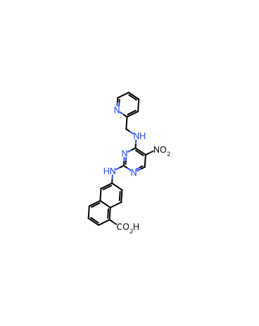 O=C(O)c1cccc2cc(Nc3ncc([N+](=O)[O-])c(NCc4ccccn4)n3)ccc12